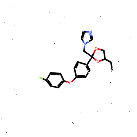 CCC1COC(Cn2ccnc2)(c2ccc(Oc3ccc(F)cc3)cc2)O1